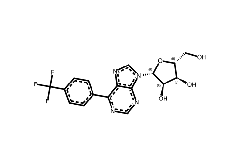 OC[C@H]1O[C@@H](n2cnc3c(-c4ccc(C(F)(F)F)cc4)ncnc32)[C@H](O)[C@@H]1O